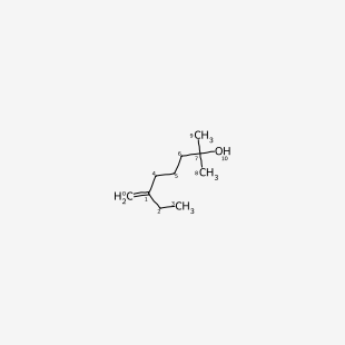 C=C(CC)CCCC(C)(C)O